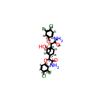 NC(=O)C(Oc1ccc(Cl)c(F)c1)C12CCC(C(Oc3ccc(Cl)c(F)c3)C(N)=O)(CC1)C(O)C2